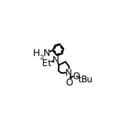 CCN(c1ccccc1N)C1CCN(C(=O)OC(C)(C)C)CC1